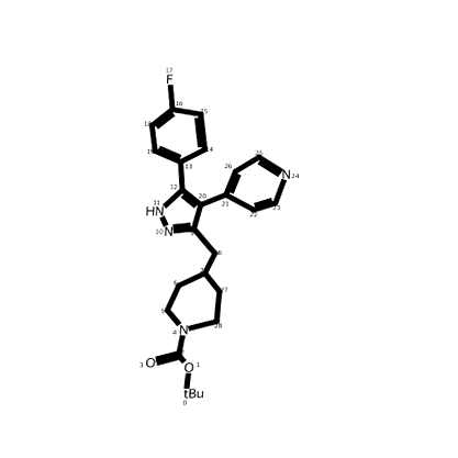 CC(C)(C)OC(=O)N1CCC(Cc2n[nH]c(-c3ccc(F)cc3)c2-c2ccncc2)CC1